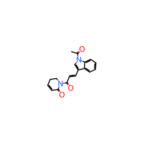 CC(=O)n1cc(/C=C/C(=O)N2CCC=CC2=O)c2ccccc21